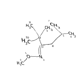 CON=C(CC(C)C)C(C)(C)C